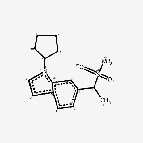 CC(c1ccc2ccn(C3CCCC3)c2c1)S(N)(=O)=O